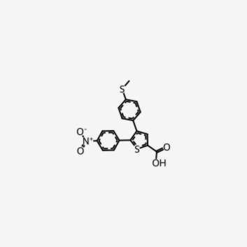 CSc1ccc(-c2cc(C(=O)O)sc2-c2ccc([N+](=O)[O-])cc2)cc1